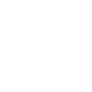 C=C(C)C(=O)OC1(C)CC(C)(C)c2ccc(COC)cc21